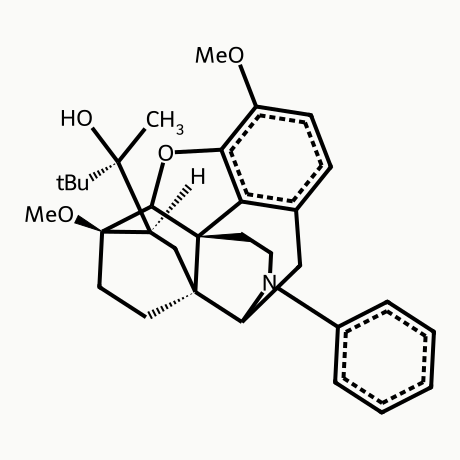 COc1ccc2c3c1OC1[C@@]4(OC)CC[C@@]5(C[C@@H]4[C@](C)(O)C(C)(C)C)C(C2)N(c2ccccc2)CC[C@]315